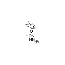 Cc1cc2c(OCC(O)CNC(C)(C)C)nccc2s1